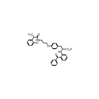 CC(C(=O)NCCCOc1ccc(CC(Nc2ccccc2C(=O)c2ccccc2)C(=O)O)cc1)c1ccccc1Cl